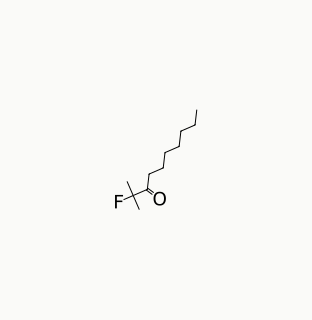 CCCCCCCC(=O)C(C)(C)F